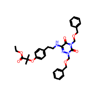 CCOC(=O)C(C)(C)Oc1ccc(CCNc2nn(COCc3ccccc3)c(=O)n(COCc3ccccc3)c2=O)cc1